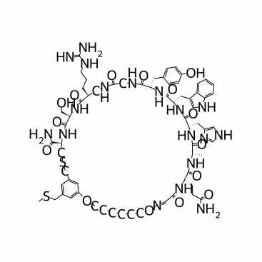 CSCc1cc2cc(c1)OCCCCCCO/N=C/C(=O)N[C@@H](CCC(N)=O)C(=O)N[C@@H](C)C(=O)N[C@@H](Cc1c[nH]cn1)C(=O)N[C@@H](Cc1c[nH]c3ccccc13)C(=O)N[C@@H](Cc1ccc(O)cc1)C(=O)NCC(=O)NC[C@H](CCCNC(=N)N)C(=O)N[C@H](CO)C(=O)N[C@H](C(N)=O)CSC2